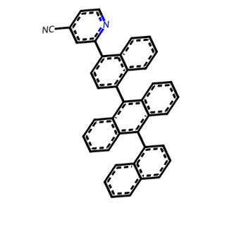 N#Cc1ccnc(-c2ccc(-c3c4ccccc4c(-c4cccc5ccccc45)c4ccccc34)c3ccccc23)c1